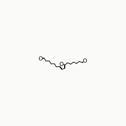 O=CCCCCCc1ccc(CCCCCC=O)o1